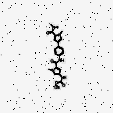 CN(C)C(=O)c1cc(-c2ccc(NC(=O)c3cc(NC(=O)OC(C)(C)C)cn3C)cc2)cn1C